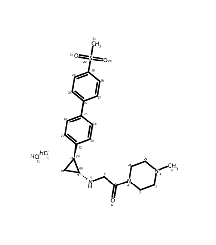 CN1CCN(C(=O)CN[C@@H]2C[C@H]2c2ccc(-c3ccc(S(C)(=O)=O)cc3)cc2)CC1.Cl.Cl